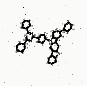 C1=C2c3ccccc3SC2Cc2c1n(-c1ccc(-c3nc(-c4ccccc4)nc(-c4ccccc4)n3)cc1)c1ccc(-c3ccccc3)cc21